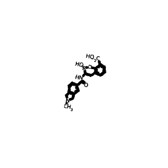 CN1Cc2ccc(C(=O)NC3Cc4cccc(C(=O)O)c4OB3O)cc2C1